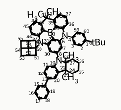 CC(C)(C)c1ccc(N2c3cc(N4c5ccc(-c6ccccc6)cc5C5(C)CCCCC45C)cc4c3B3c5c2cccc5C(C)(C)c2cccc(c23)N4C23CC4CC5CC(C2)C543)cc1